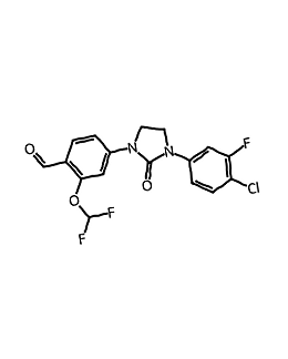 O=Cc1ccc(N2CCN(c3ccc(Cl)c(F)c3)C2=O)cc1OC(F)F